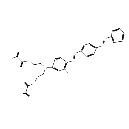 C=C(C)C(=O)OCCN(CCOC(=O)C(=C)C)c1ccc(/N=N/c2ccc(/N=N/c3ccccc3)cc2)c(C(C)=O)c1